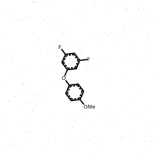 COc1ccc(Oc2cc(F)cc(F)c2)cc1